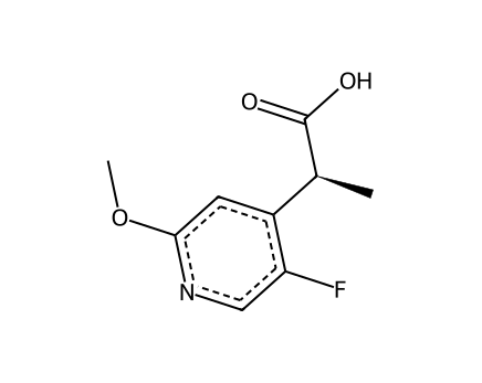 COc1cc([C@H](C)C(=O)O)c(F)cn1